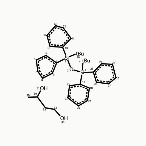 CC(C)(C)[Si](O[Si](c1ccccc1)(c1ccccc1)C(C)(C)C)(c1ccccc1)c1ccccc1.CC(O)CCO